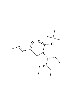 CC=CC(=O)CN(C(=O)OC(C)(C)C)[C@H](CC)C(=CC)CC